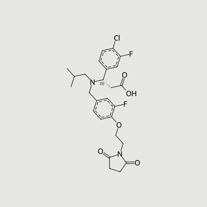 CC(C)CN(Cc1ccc(OCCN2C(=O)CCC2=O)c(F)c1)[C@@H](CC(=O)O)c1ccc(Cl)c(F)c1